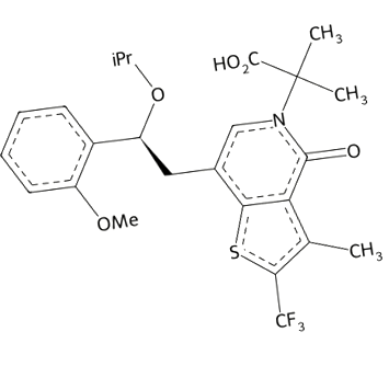 COc1ccccc1[C@H](Cc1cn(C(C)(C)C(=O)O)c(=O)c2c(C)c(C(F)(F)F)sc12)OC(C)C